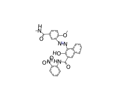 CNC(=O)c1ccc(OC)c(/N=N/c2c(O)c(C(=O)Nc3ccccc3[N+](=O)[O-])cc3ccccc23)c1